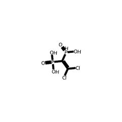 O=[PH](O)C(=C(Cl)Cl)P(=O)(O)O